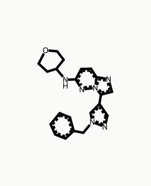 c1ccc(Cn2cc(-c3cnc4ccc(NC5CCOCC5)nn34)cn2)cc1